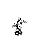 CCC(CNC(=O)C1(C(C)C)CC(c2nccc3c2C=CCC3)=NO1)OC(C)=O